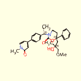 COC[C@](C)(O)C[C@]1(c2ccccc2)CCN([C@@H](C)c2ccc(-c3ccn(C)c(=O)c3)cc2)C(=O)O1